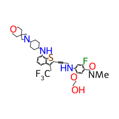 CNC(=O)c1cc(OCCO)c(NCC#Cc2sc3c(NC4CCC(N5CC6(CCOCC6)C5)CC4)cccc3c2CC(F)(F)F)cc1F